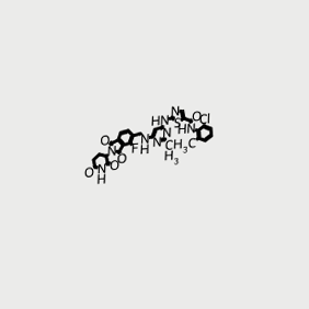 Cc1nc(NCc2ccc3c(c2F)C(=O)N(C2CCC(=O)NC2=O)C3=O)cc(Nc2ncc(C(=O)Nc3c(C)cccc3Cl)s2)n1